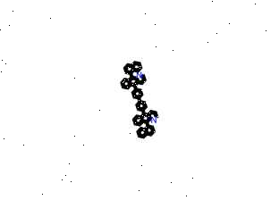 c1ccc2c(-c3c4ccccc4c(-c4ccc(-c5ccc(-c6c7ccccc7c(-c7cccc8ccccc78)c7ncccc67)cc5)cc4)c4cccnc34)cccc2c1